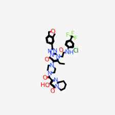 CCc1c(N2CCN(C(=O)c3nc4n(c(=O)c3O)CCCC4)CC2)c(=O)n2nc(-c3ccc4c(c3)COC4)nc2n1CC(=O)Nc1ccc(C(F)(F)F)cc1Cl